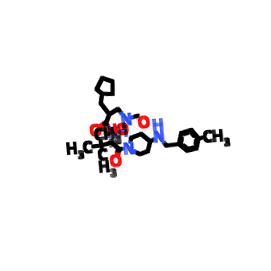 Cc1ccc(CNC2CCN(C(=O)[C@@H](NC(=O)C(CC3CCCC3)CN(O)C=O)C(C)(C)C)CC2)cc1